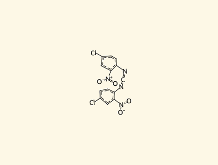 O=[N+]([O-])c1cc(Cl)ccc1N=C=Nc1ccc(Cl)cc1[N+](=O)[O-]